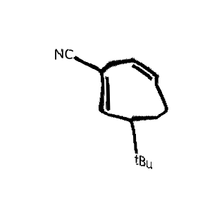 CC(C)(C)C1C=C(C#N)C=CC1